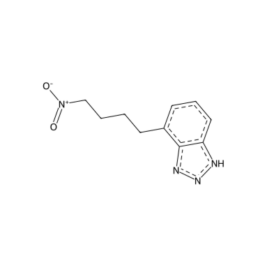 O=[N+]([O-])CCCCc1cccc2[nH]nnc12